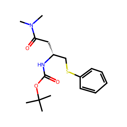 CN(C)C(=O)C[C@H](CSc1ccccc1)NC(=O)OC(C)(C)C